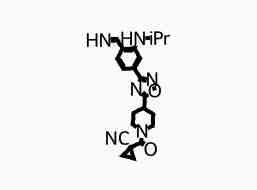 CC(C)Nc1cc(-c2noc(C3CCN(C(=O)C4(C#N)CC4)CC3)n2)ccc1C=N